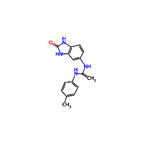 C=C(Nc1ccc(C)cc1)Nc1ccc2[nH]c(=O)[nH]c2c1